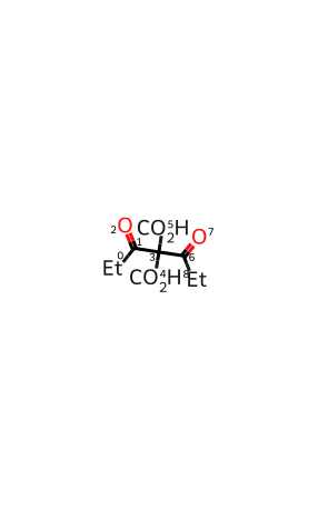 CCC(=O)C(C(=O)O)(C(=O)O)C(=O)CC